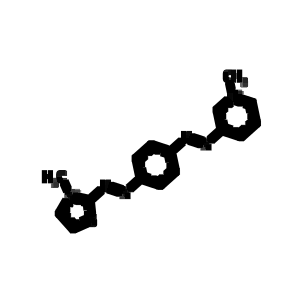 C[n+]1cccc(N=Nc2ccc(N=Nc3scc[n+]3C)cc2)c1